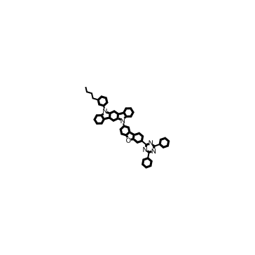 CCCCc1cccc(-n2c3ccccc3c3cc4c(cc32)c2ccccc2n4-c2ccc3oc4cc(-c5nc(-c6ccccc6)nc(-c6ccccc6)n5)ccc4c3c2)c1